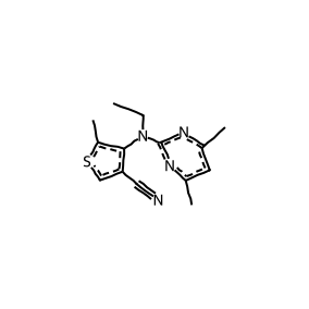 CCN(c1nc(C)cc(C)n1)c1c(C#N)csc1C